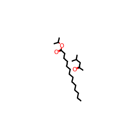 CC(=O)CC(C)C.CCCCCCCCCCCCCC(=O)OC(C)C